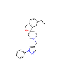 C=Cc1ccc2c(c1)C1(CCN(Cc3cnn(-c4ccccc4)c3)CC1)OC2